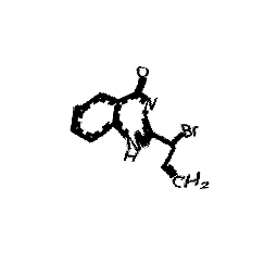 C=CC(Br)c1nc(=O)c2ccccc2[nH]1